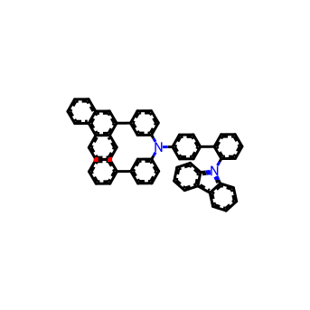 c1ccc(-c2cccc(N(c3ccc(-c4ccccc4-n4c5ccccc5c5ccccc54)cc3)c3cccc(-c4cc5ccccc5c5ccccc45)c3)c2)cc1